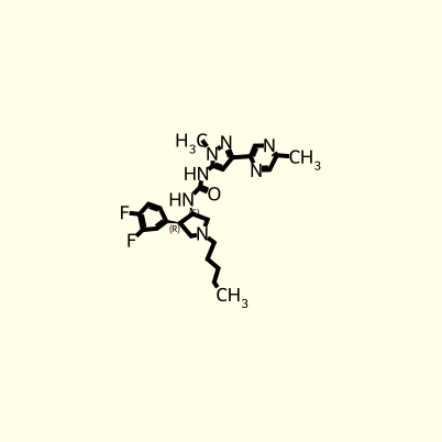 CCCCCN1C[C@@H](NC(=O)Nc2cc(-c3cnc(C)cn3)nn2C)[C@H](c2ccc(F)c(F)c2)C1